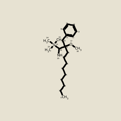 CCCCCCCCCC(Cc1ccccc1)(OC)C(N)[Si](C)(C)C